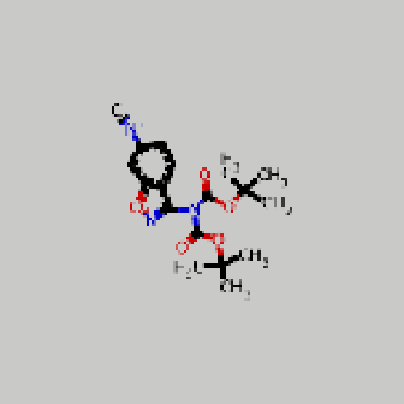 [C-]#[N+]c1ccc2c(N(C(=O)OC(C)(C)C)C(=O)OC(C)(C)C)noc2c1